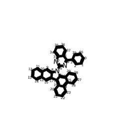 c1ccc(-c2nc(-n3c4cc5ccccc5cc4c4c5ccccc5c5ccccc5c43)nc3ccccc23)cc1